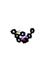 N#Cc1ccc(-n2c3ccccc3c3ccc(-c4ccccc4)cc32)c(-n2c3ccccc3c3ccccc32)c1-c1cccc2c1sc1ccccc12